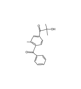 Cc1cc(C(=O)C(C)(C)O)ccc1C(=O)c1ccccc1